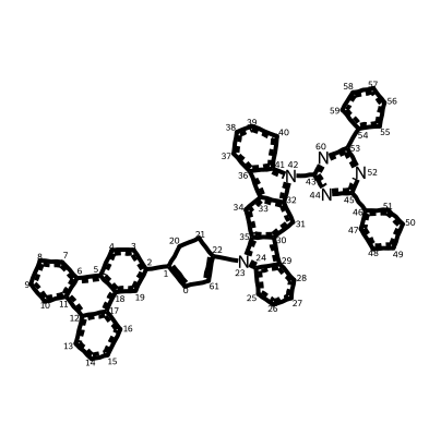 C1=C(c2ccc3c4ccccc4c4ccccc4c3c2)CCC(n2c3ccccc3c3cc4c(cc32)c2ccccc2n4-c2nc(-c3ccccc3)nc(-c3ccccc3)n2)=C1